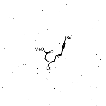 CCN(CC=CC#CC(C)(C)C)CC(=O)OC